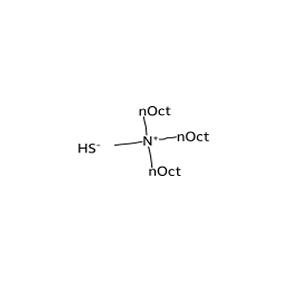 CCCCCCCC[N+](C)(CCCCCCCC)CCCCCCCC.[SH-]